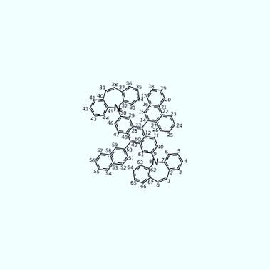 C1=Cc2ccccc2N(c2ccc3c(-c4cc5ccccc5c5ccccc45)c4cc(N5c6ccccc6C=Cc6ccccc65)ccc4c(-c4ccc5ccccc5c4)c3c2)c2ccccc21